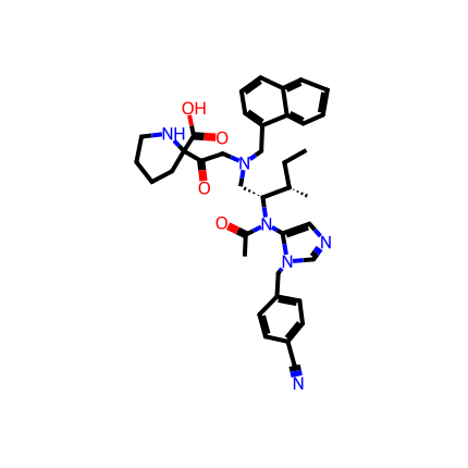 CC[C@H](C)[C@@H](CN(CC(=O)C1(C(=O)O)CCCCN1)Cc1cccc2ccccc12)N(C(C)=O)c1cncn1Cc1ccc(C#N)cc1